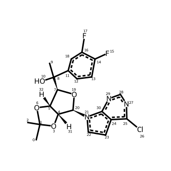 CC1(C)O[C@@H]2[C@H](O1)[C@@H](C(C)(O)c1ccc(F)c(F)c1)O[C@H]2n1ccc2c(Cl)ncnc21